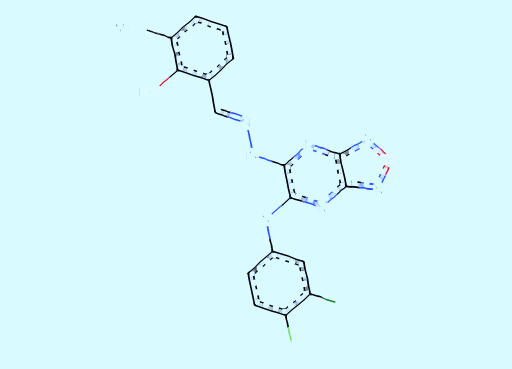 COc1cccc(C=NNc2nc3nonc3nc2Nc2ccc(F)c(Cl)c2)c1O